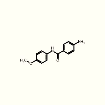 COc1ccc(NC(=O)c2ccc(N)cc2)cc1